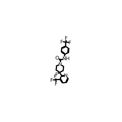 O=C(Nc1ccc(C(F)(F)F)cc1)N1CCC(F)(c2ncccc2C(F)(F)F)CC1